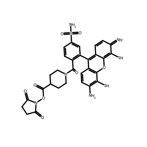 N=c1ccc2c(-c3cc(S(N)(=O)=O)ccc3C(=O)N3CCC(C(=O)ON4C(=O)CCC4=O)CC3)c3ccc(N)c(S)c3oc-2c1S